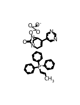 CC=C[P+](c1ccccc1)(c1ccccc1)c1ccccc1.O=C1N2CC=C(c3cncnc3)C(C2)N1OS(=O)(=O)[O-]